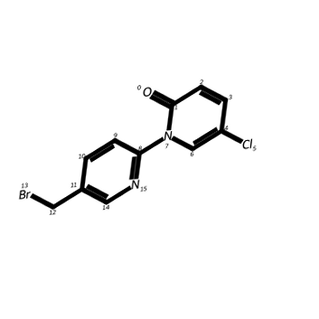 O=c1ccc(Cl)cn1-c1ccc(CBr)cn1